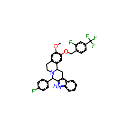 COc1cc2c(cc1OCc1ccc(C(F)(F)F)cc1F)C1Cc3c([nH]c4ccccc34)C(c3ccc(F)cc3)N1CC2